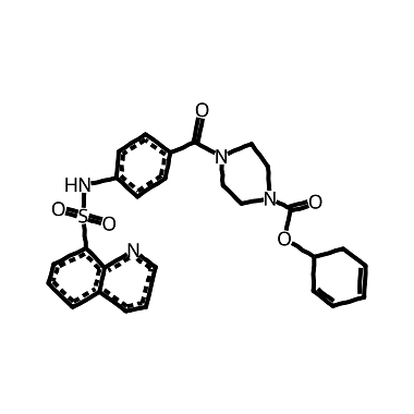 O=C(OC1C=CC=CC1)N1CCN(C(=O)c2ccc(NS(=O)(=O)c3cccc4cccnc34)cc2)CC1